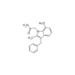 CC(=O)Oc1cccc2c(Cc3ccccc3)c(C)n(CC(N)=O)c12